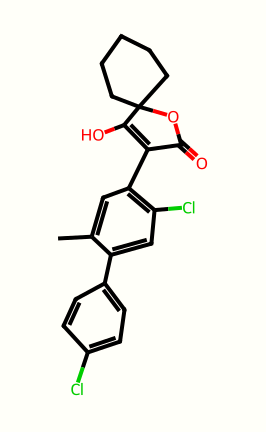 Cc1cc(C2=C(O)C3(CCCCC3)OC2=O)c(Cl)cc1-c1ccc(Cl)cc1